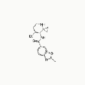 CCC1CCNC2(CC2)C1NC(=O)c1ccc2nc(C)oc2c1